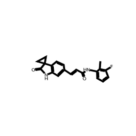 Cc1c(F)cccc1NC(=O)/C=C/c1ccc2c(c1)NC(=O)C21CC1